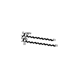 CCC=CCC=CCC=CCC=CCC=CCC=CCCC(=O)N[C@@H](C)C(=O)O[C@H](C)[C@H](NC(=O)CCCC=CCC=CCC=CCC=CCC=CCC)C(=O)OC